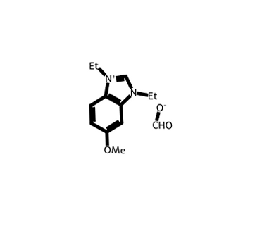 CCn1c[n+](CC)c2ccc(OC)cc21.O=C[O-]